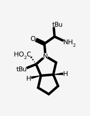 CC(C)(C)C(N)C(=O)N1C[C@@H]2CCC[C@@H]2[C@@]1(C(=O)O)C(C)(C)C